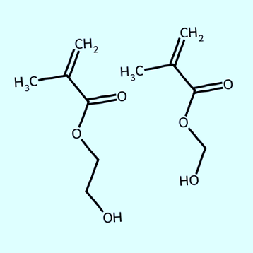 C=C(C)C(=O)OCCO.C=C(C)C(=O)OCO